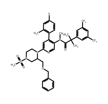 Cc1cc(F)ccc1-c1cc(N2CCN(S(C)(=O)=O)CC2COCc2ccccc2)ncc1N(C)C(=O)C(C)(C)c1cc(C(F)(F)F)cc(C(F)(F)F)c1